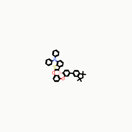 CC1(C)CC(C)(C)c2cc(-c3ccc4c(c3)Oc3cccc5c3B4c3c(sc4c(N(c6ccccc6)c6ccccc6)cccc34)O5)ccc21